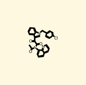 CC(=O)N(C(=O)C(=O)c1cn(Cc2ccc(Cl)cc2)c2ccccc12)c1cccc2cccnc12